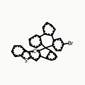 Brc1ccc2c(c1)-c1ccccc1-c1ccccc1C21c2ccccc2-c2cc3sc4ccccc4c3cc21